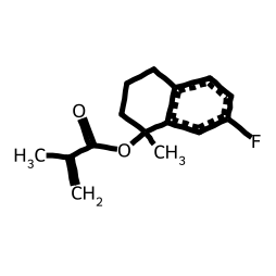 C=C(C)C(=O)OC1(C)CCCc2ccc(F)cc21